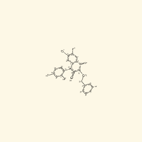 O=c1c2cc(F)c(Cl)nc2n(-c2ccc(F)cc2F)c(=O)n1OCc1ccccc1